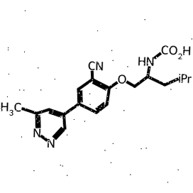 Cc1cc(-c2ccc(OCC(CC(C)C)NC(=O)O)c(C#N)c2)cnn1